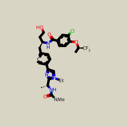 CCn1cc(-c2ccc(C[C@@H](CCO)NC(=O)c3ccc(O[C@H](C)C(F)(F)F)c(Cl)c3)cc2)nc1[C@@H](C)NC(=O)NC